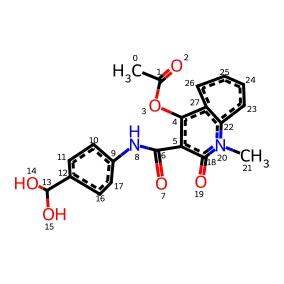 CC(=O)Oc1c(C(=O)Nc2ccc(C(O)O)cc2)c(=O)n(C)c2ccccc12